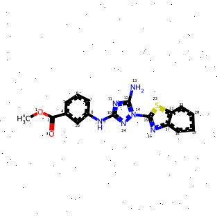 COC(=O)c1cccc(Nc2nc(N)n(-c3nc4ccccc4s3)n2)c1